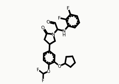 O=CC(Nc1cccc(F)c1F)N1CC(c2ccc(OC(F)F)c(OC3CCCC3)c2)CC1=O